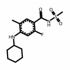 Cc1cc(C(=O)NS(C)(=O)=O)c(F)cc1NC1CCCCC1